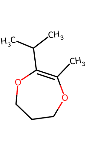 CC1=C(C(C)C)OCCCO1